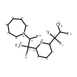 FC(C(F)(F)F)C(F)(F)C1CCCC(C(F)(C(F)N2CCCCCC2)C(F)(F)F)O1